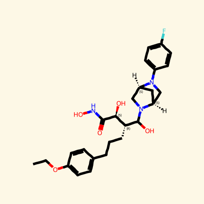 CCOc1ccc(CCC[C@@H](C(O)N2C[C@@H]3C[C@H]2CN3c2ccc(F)cc2)[C@H](O)C(=O)NO)cc1